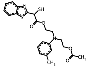 CC(=O)OCCN(CCOC(=O)C(S)c1nc2ccccc2s1)c1cccc(C)c1